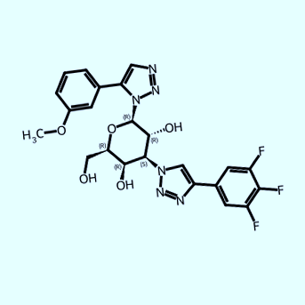 COc1cccc(-c2cnnn2[C@@H]2O[C@H](CO)[C@H](O)[C@H](n3cc(-c4cc(F)c(F)c(F)c4)nn3)[C@H]2O)c1